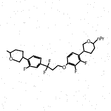 CCCC1CCC(c2ccc(OCCC(F)(F)c3ccc(C4CCC(C)OC4)c(F)c3)c(F)c2F)CO1